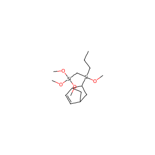 CCC[Si](C[Si](OC)(OC)OC)(OC)C1CC2C=CC1C2